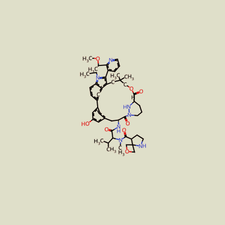 CCn1c(-c2cccnc2[C@H](C)OC)c2c3cc(ccc31)-c1cc(O)cc(c1)C[C@H](NC(=O)C(C(C)C)N(C)C(=O)C1CCNC13COC3)C(=O)N1CCC[C@H](N1)C(=O)OCC(C)(C)C2